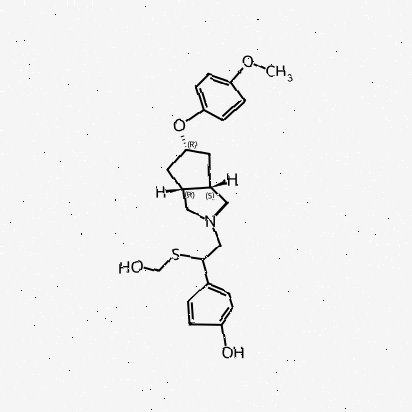 COc1ccc(O[C@@H]2C[C@@H]3CN(CC(SCO)c4ccc(O)cc4)C[C@@H]3C2)cc1